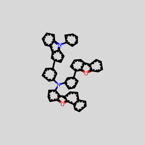 c1ccc(-n2c3ccccc3c3cc(-c4cccc(N(c5cccc(-c6cccc7c6oc6ccccc67)c5)c5cccc6oc7c8ccccc8ccc7c56)c4)ccc32)cc1